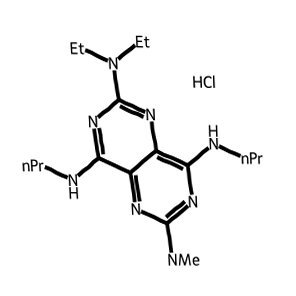 CCCNc1nc(N(CC)CC)nc2c(NCCC)nc(NC)nc12.Cl